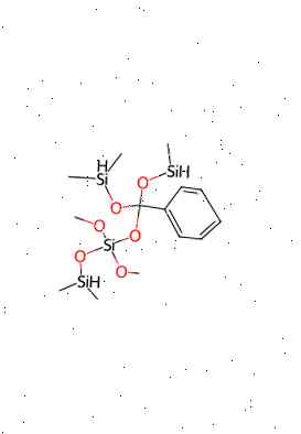 CO[Si](OC)(O[SiH](C)C)OC(O[SiH](C)C)(O[SiH](C)C)c1ccccc1